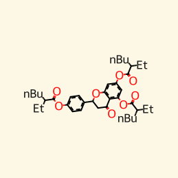 CCCCC(CC)C(=O)Oc1ccc(C2CC(=O)c3c(OC(=O)C(CC)CCCC)cc(OC(=O)C(CC)CCCC)cc3O2)cc1